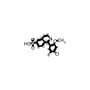 COc1cc(Cl)c(F)cc1-c1nccc2cc(S(=O)(=O)O)ccc12